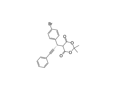 CC1(C)OC(=O)C([C@H](C#Cc2ccccc2)c2ccc(Br)cc2)C(=O)O1